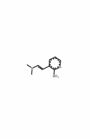 CN(C)C=Cc1cccnc1[N+](=O)[O-]